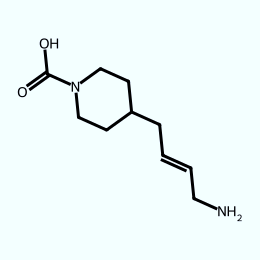 NCC=CCC1CCN(C(=O)O)CC1